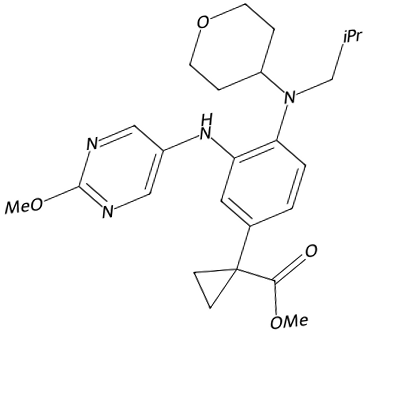 COC(=O)C1(c2ccc(N(CC(C)C)C3CCOCC3)c(Nc3cnc(OC)nc3)c2)CC1